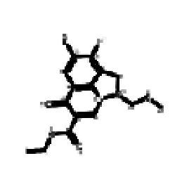 CCOC(=O)c1cn2c3c(c(F)c(F)cc3c1=O)CN2COC